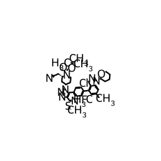 CSc1nc2c(F)c(-c3c(C)c(C)cc4c3cnn4C3CCCCO3)c(Cl)cc2c2c1nnn2[C@H]1CCN(C(=O)OC(C)(C)C)[C@H](CC#N)C1